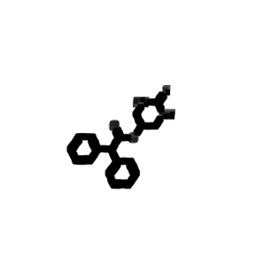 O=C(OC1CNC(=S)NC1)C(c1ccccc1)c1ccccc1